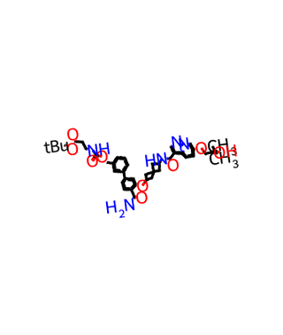 CC(C)(O)COc1ccc2c(C(=O)NC3CC4(C3)CC(Oc3cc(-c5cccc(COC(=O)NCCC(=O)OC(C)(C)C)c5)ccc3C(N)=O)C4)cnn2c1